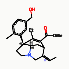 C/C=C1/CN2CC[C@]3(c4cc(CO)ccc4C)C(CC)=C(C(=O)OC)C1C[C@H]23